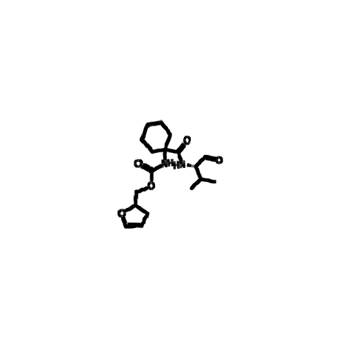 CC(C)[C@@H](C=O)NC(=O)C1(NC(=O)OCC2CC=CO2)CCCCC1